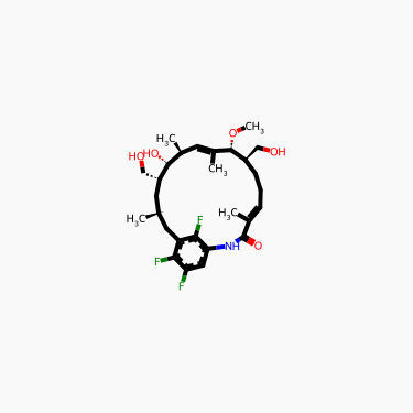 CO[C@H]1/C(C)=C/[C@H](C)[C@@H](O)[C@@H](CO)C[C@H](C)Cc2c(F)c(F)cc(c2F)NC(=O)/C(C)=C/CC[C@@H]1CO